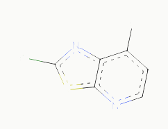 FC(F)(F)c1ccnc2sc(Cl)nc12